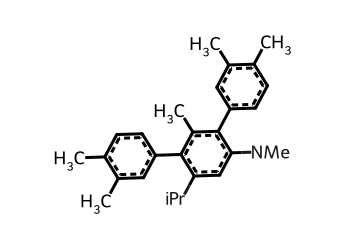 CNc1cc(C(C)C)c(-c2ccc(C)c(C)c2)c(C)c1-c1ccc(C)c(C)c1